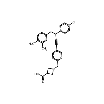 Cc1ccc(CC(C#Cc2ccc(CN3CC(C(=O)O)C3)cc2)c2ccc(Cl)cc2)cc1C